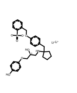 O=P([O-])([O-])c1ccccc1COc1ccc(CC2(NC[C@H](O)COc3ccc(O)cc3)CCCC2)cc1.[Li+].[Li+]